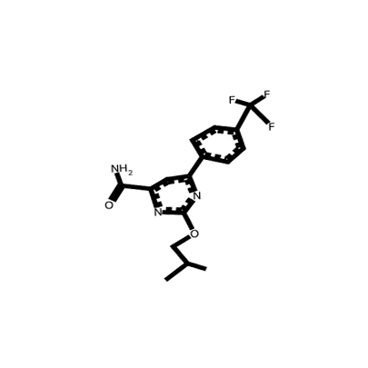 CC(C)COc1nc(C(N)=O)cc(-c2ccc(C(F)(F)F)cc2)n1